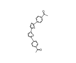 CC(=O)c1ccc(-c2ccc(-c3ccc(-c4ccc(C(C)=O)cc4)s3)s2)cc1